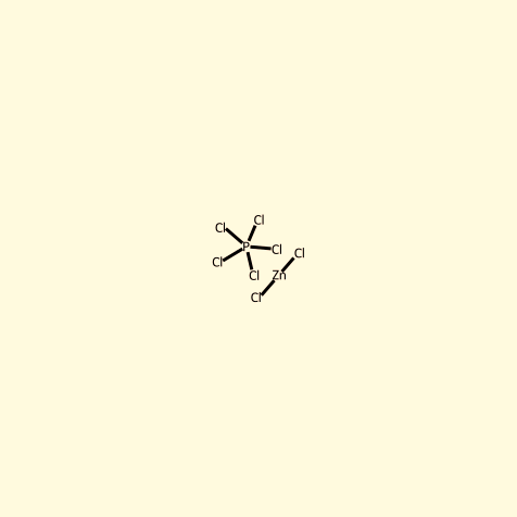 ClP(Cl)(Cl)(Cl)Cl.[Cl][Zn][Cl]